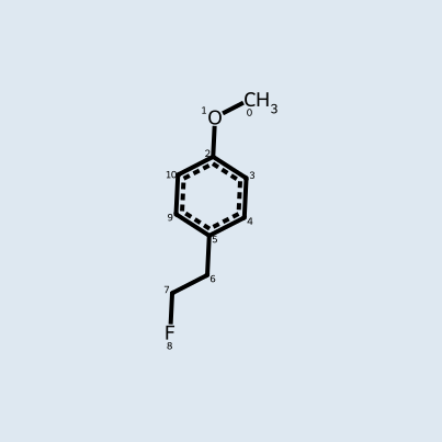 COc1ccc(CCF)cc1